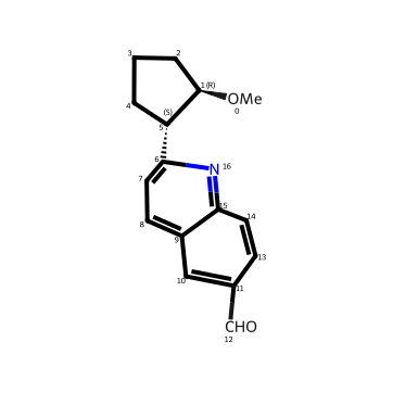 CO[C@@H]1CCC[C@H]1c1ccc2cc(C=O)ccc2n1